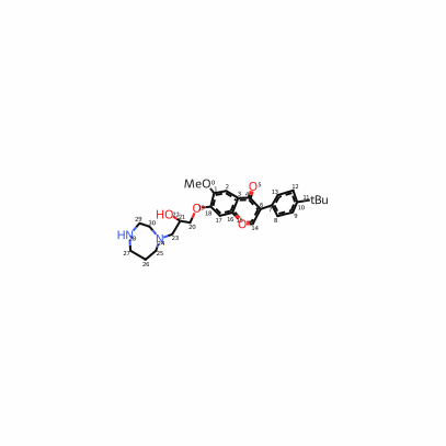 COc1cc2c(=O)c(-c3ccc(C(C)(C)C)cc3)coc2cc1OCC(O)CN1CCCNCC1